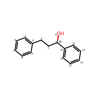 O[C@H](CCc1ccccc1)c1ccccc1